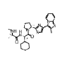 CN[C@@H](C)C(=O)N[C@H](C(=O)N1CCC[C@H]1c1nc(-c2c(C)nc3ccccn23)cs1)C1CCCCC1